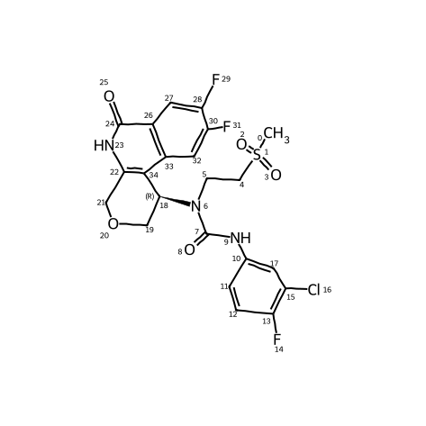 CS(=O)(=O)CCN(C(=O)Nc1ccc(F)c(Cl)c1)[C@H]1COCc2[nH]c(=O)c3cc(F)c(F)cc3c21